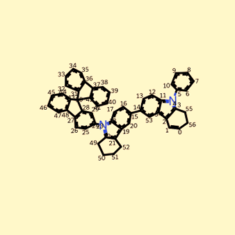 C1=Cc2c(n(-c3ccccc3)c3ccc(-c4ccc5c(c4)c4c(n5-c5ccc6c(c5)C5(c7ccccc7-c7ccccc75)c5ccccc5-6)CCCC4)cc23)CC1